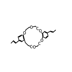 C/C=C/c1ccc2c(c1)CCCOCCOc1ccc(/C=C/C)cc1OCCOCCO2